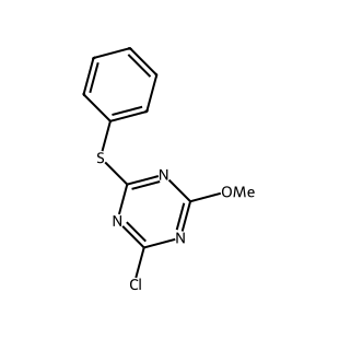 COc1nc(Cl)nc(Sc2ccccc2)n1